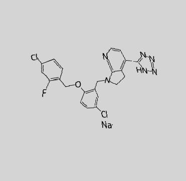 Fc1cc(Cl)ccc1COc1ccc(Cl)cc1CN1CCc2c(-c3nnn[nH]3)ccnc21.[Na]